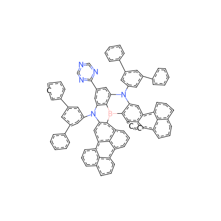 c1ccc(-c2cc(-c3ccccc3)cc(N3c4cc(-c5ncncn5)cc5c4B(c4c3cc3c6cccc7cccc(c8cccc4c83)c76)c3c(cc4c6cccc7cccc(c8cccc3c84)c76)N5c3cc(-c4ccccc4)cc(-c4ccccc4)c3)c2)cc1